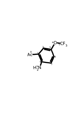 CC(=O)c1cc(OC(F)(F)F)ccc1N